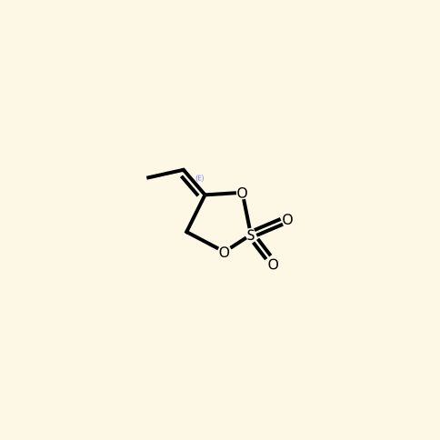 C/C=C1\COS(=O)(=O)O1